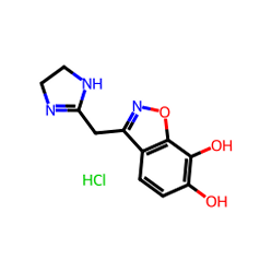 Cl.Oc1ccc2c(CC3=NCCN3)noc2c1O